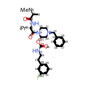 CN[C@@H](C)C(=O)N[C@H](C(=O)N1CCN(Cc2ccccc2)C[C@@H]1OC(=O)NCCc1cccc(F)c1)C(C)C